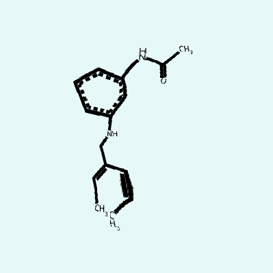 C/C=C\C(=C/C)CNc1cccc(NC(C)=O)c1